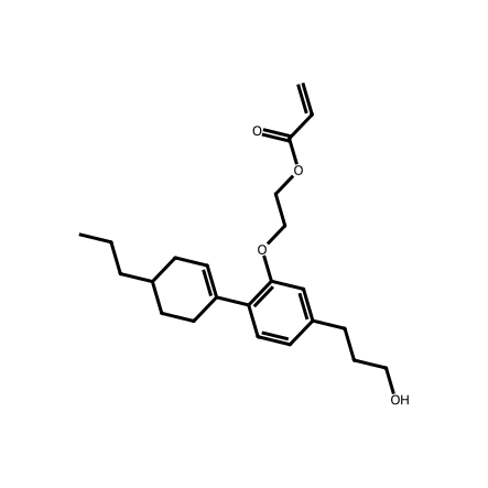 C=CC(=O)OCCOc1cc(CCCO)ccc1C1=CCC(CCC)CC1